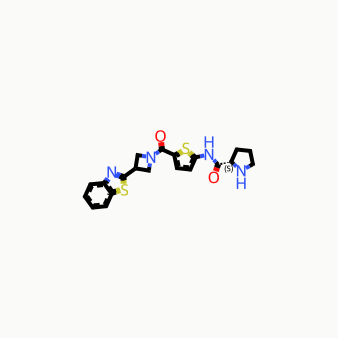 O=C(Nc1ccc(C(=O)N2CC(c3nc4ccccc4s3)C2)s1)[C@@H]1CCCN1